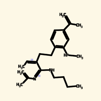 C=C(C)/N=C(NCCCC)\C(=C/C)CCc1ccc(C(=C)C)cc1PC